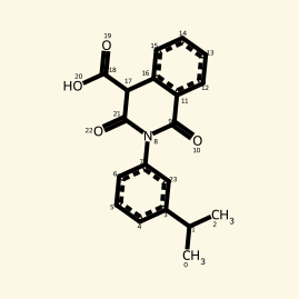 CC(C)c1cccc(N2C(=O)c3ccccc3C(C(=O)O)C2=O)c1